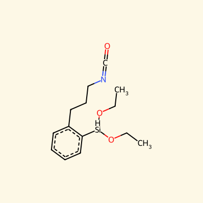 CCO[SiH](OCC)c1ccccc1CCCN=C=O